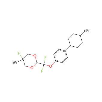 CCCC1CCC(c2ccc(OC(F)(F)C3OCC(F)(CCC)CO3)cc2)CC1